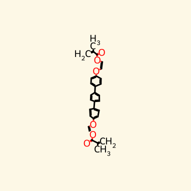 C=C(C)C(=O)O/C=C\Oc1ccc(-c2ccc(-c3ccc(O/C=C\OC(=O)C(=C)C)cc3)cc2)cc1